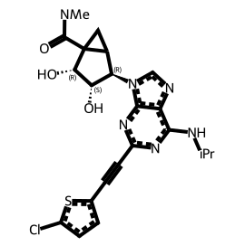 CNC(=O)C12CC1[C@@H](n1cnc3c(NC(C)C)nc(C#Cc4ccc(Cl)s4)nc31)[C@H](O)[C@@H]2O